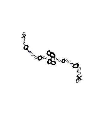 CC1(COCOc2ccc(/C=C/OCOc3ccc(OCOc4ccc5ccccc5c4-c4c(OCOc5ccc(OCO/C=C/c6ccc(OCOCC7(C)COC7)cc6)cc5)ccc5ccccc45)cc3)cc2)COC1